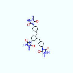 O=c1[nH][nH]c(=O)n1C1CCC(CC2CCC(n3c(=O)[nH][nH]c3=O)CC2CC2CCC(n3c(=O)[nH][nH]c3=O)CC2)CC1